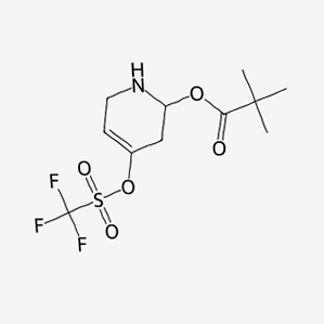 CC(C)(C)C(=O)OC1CC(OS(=O)(=O)C(F)(F)F)=CCN1